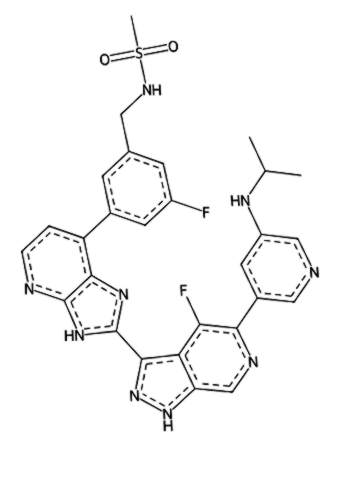 CC(C)Nc1cncc(-c2ncc3[nH]nc(-c4nc5c(-c6cc(F)cc(CNS(C)(=O)=O)c6)ccnc5[nH]4)c3c2F)c1